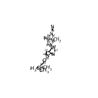 C[C@@]12CN(C#N)C[C@@H]1CCN(c1ncnc3c1ccn3COCC[Si](C)(C)C)C2